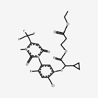 CCOC(=O)CCOC(=O)C(Sc1cc(-n2c(=O)cc(C(F)(F)F)n(C)c2=O)c(F)cc1Cl)C1CC1